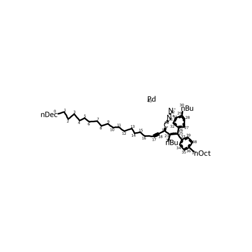 CCCCCCCCCCCCCCCCCCCCCCCCCCC#CC(=C=[N+]=[N-])C(CCCC)=C(c1ccc(CCCC)cc1)c1ccc(CCCCCCCC)cc1.[Pd]